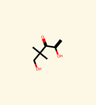 C=C(O)C(=O)C(C)(C)CO